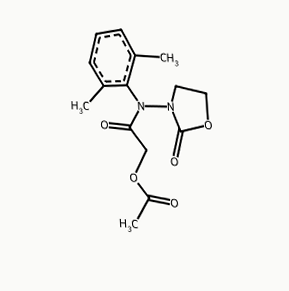 CC(=O)OCC(=O)N(c1c(C)cccc1C)N1CCOC1=O